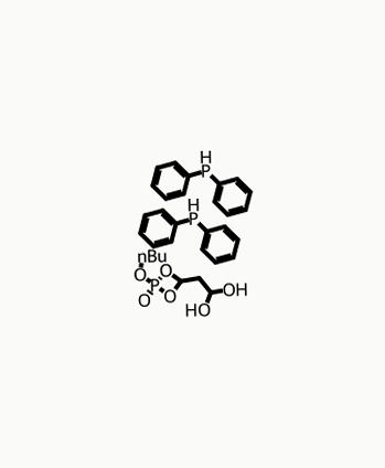 CCCCOP1(=O)OC(CC(O)O)O1.c1ccc(Pc2ccccc2)cc1.c1ccc(Pc2ccccc2)cc1